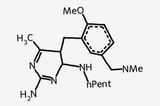 CCCCCNC1N=C(N)N=C(C)C1Cc1cc(CNC)ccc1OC